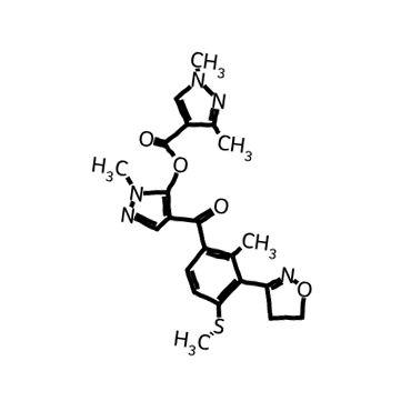 CSc1ccc(C(=O)c2cnn(C)c2OC(=O)c2cn(C)nc2C)c(C)c1C1=NOCC1